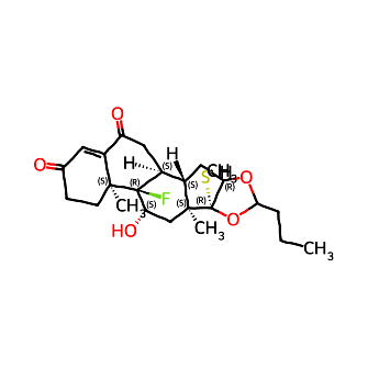 CCCC1O[C@@H]2C[C@H]3[C@@H]4CC(=O)C5=CC(=O)CC[C@]5(C)[C@@]4(F)[C@@H](O)C[C@]3(C)[C@]2(SC)O1